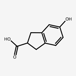 O=C(O)C1Cc2ccc(O)cc2C1